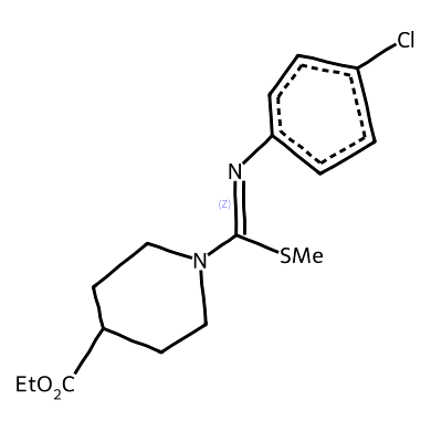 CCOC(=O)C1CCN(/C(=N/c2ccc(Cl)cc2)SC)CC1